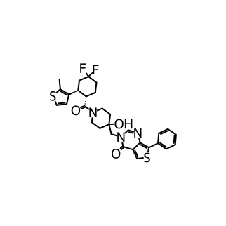 Cc1sccc1[C@H]1CC(F)(F)CC[C@@H]1C(=O)N1CCC(O)(Cn2cnc3c(-c4ccccc4)scc3c2=O)CC1